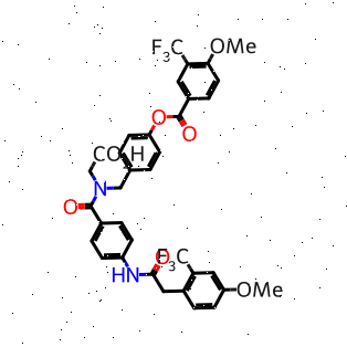 COc1ccc(CC(=O)Nc2ccc(C(=O)N(CC(=O)O)Cc3ccc(OC(=O)c4ccc(OC)c(C(F)(F)F)c4)cc3)cc2)c(C(F)(F)F)c1